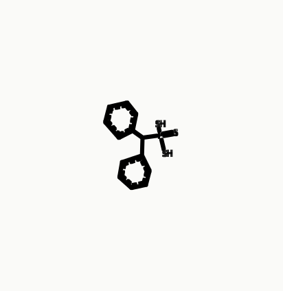 S=P(S)(S)C(c1ccccc1)c1ccccc1